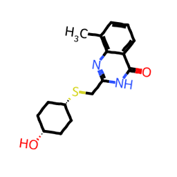 Cc1cccc2c(=O)[nH]c(CS[C@H]3CC[C@@H](O)CC3)nc12